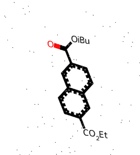 CCOC(=O)c1ccc2cc(C(=O)OCC(C)C)ccc2c1